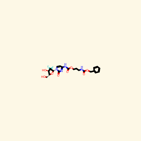 O=C(NCCCOC(=O)Nc1ccn([C@@H]2O[C@H](CO)[C@@H](O)C2(F)F)c(=O)n1)OCc1ccccc1